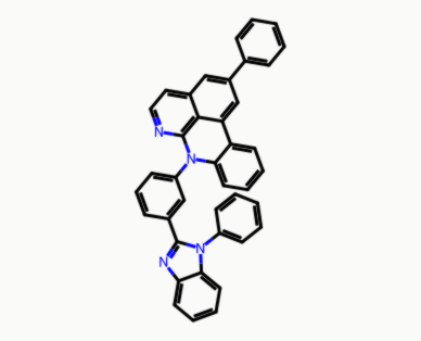 c1ccc(-c2cc3c4c(nccc4c2)N(c2cccc(-c4nc5ccccc5n4-c4ccccc4)c2)c2ccccc2-3)cc1